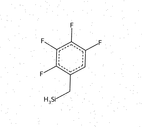 Fc1cc(C[SiH3])c(F)c(F)c1F